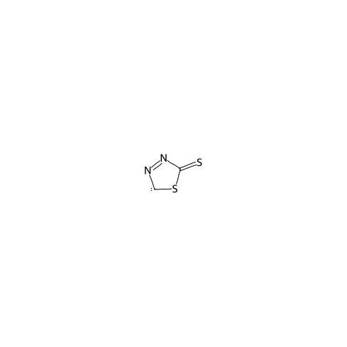 S=C1N=N[C]S1